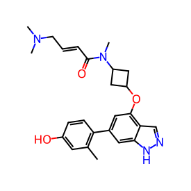 Cc1cc(O)ccc1-c1cc(OC2CC(N(C)C(=O)/C=C/CN(C)C)C2)c2cn[nH]c2c1